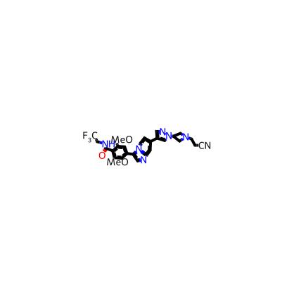 COc1cc(-c2cnc3cc(-c4cnn(C5CN(CCC#N)C5)c4)ccn23)cc(OC)c1C(=O)NCC(F)(F)F